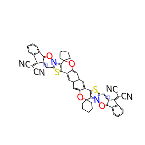 N#CC(C#N)=C1/C(=C/c2nc3c(s2)C2=CC4C=C5OC6(CCCCC6)c6nc(/C=C7\C(=O)c8ccccc8C7=C(C#N)C#N)sc6C5=CC4C=C2OC32CCCCC2)C(=O)c2ccccc21